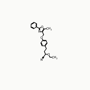 CCOC(C#N)CCc1ccc(OCc2nc(-c3ccccc3)oc2C)cc1